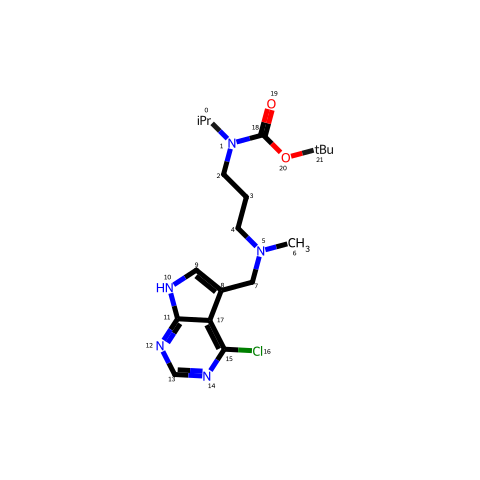 CC(C)N(CCCN(C)Cc1c[nH]c2ncnc(Cl)c12)C(=O)OC(C)(C)C